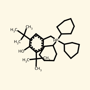 CC(C)(C)c1cc(C[PH](C2CCCCC2)(C2CCCCC2)C2CCCCC2)cc(C(C)(C)C)c1O